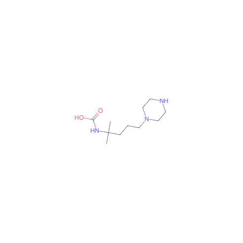 CC(C)(CCCN1CCNCC1)NC(=O)O